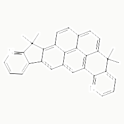 CC1(C)c2ncccc2-c2cc3cc4c5c(ccc6ccc(c21)c3c65)C(C)(C)c1cccnc1-4